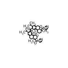 CC(C)c1cc2c(cc1Cc1cc3c(cc1C(C)C)CCC1C(C)(C(=O)n4ccnc4)CCCC31C)C1(C)CCCC(C)(C(=O)n3ccnc3)C1CC2